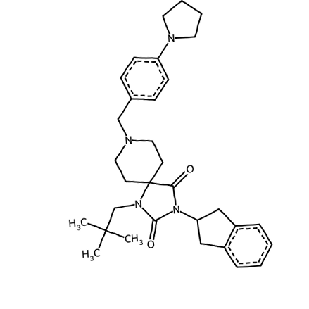 CC(C)(C)CN1C(=O)N(C2Cc3ccccc3C2)C(=O)C12CCN(Cc1ccc(N3CCCC3)cc1)CC2